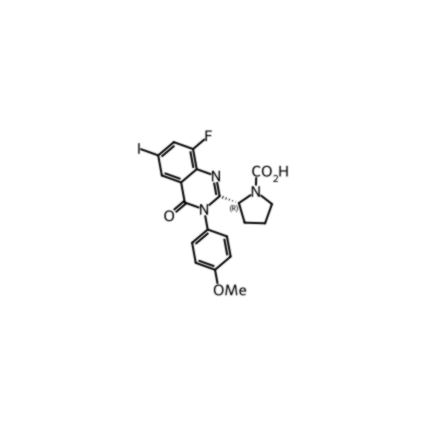 COc1ccc(-n2c([C@H]3CCCN3C(=O)O)nc3c(F)cc(I)cc3c2=O)cc1